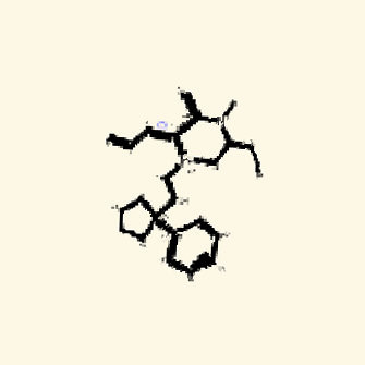 C=C/C=C1/C(=C)N(C)C(CC)CN1CCC1(c2ccccc2)CCCC1